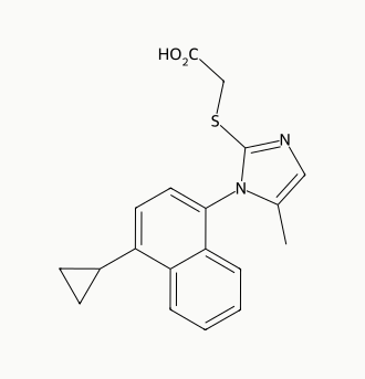 Cc1cnc(SCC(=O)O)n1-c1ccc(C2CC2)c2ccccc12